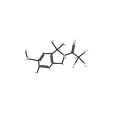 COc1cc2c(cc1C)CN(C(=O)C(F)(F)F)C2(C)C